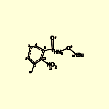 Cc1cccc(C(=O)NOC(C)(C)C)c1[N+](=O)[O-]